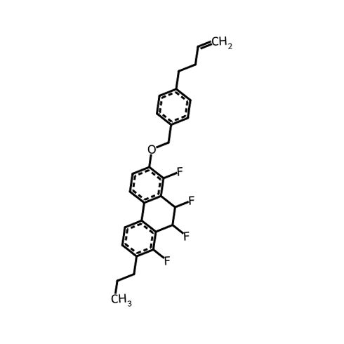 C=CCCc1ccc(COc2ccc3c(c2F)C(F)C(F)c2c-3ccc(CCC)c2F)cc1